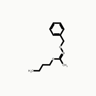 CCCCOC(C)=NOCc1ccccc1